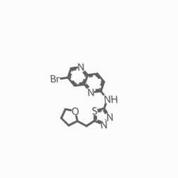 Brc1cnc2ccc(Nc3nnc(CC4CCCO4)s3)nc2c1